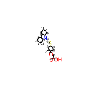 Cc1cc(SCCn2c3ccccc3c3ccccc32)ccc1OCC(=O)O